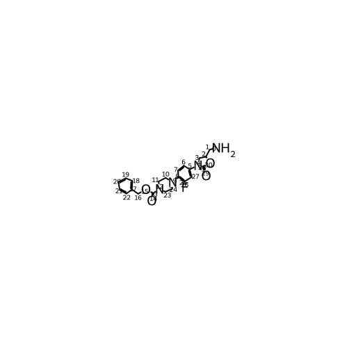 NCC1CN(c2ccc(N3CCN(C(=O)OCc4ccccc4)CC3)c(F)c2)C(=O)O1